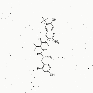 CC(C)[C@@H](C(=O)N(C)[C@@H](Cc1ccc(O)c(C(C)(C)C)c1)C(N)=O)N(C)C(=O)[C@@H](N)Cc1ccc(O)cc1F